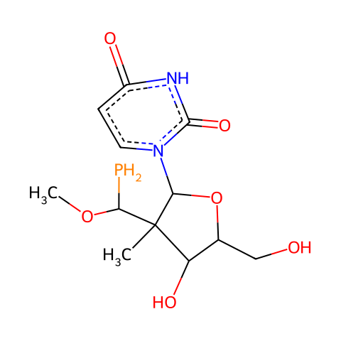 COC(P)C1(C)C(O)C(CO)OC1n1ccc(=O)[nH]c1=O